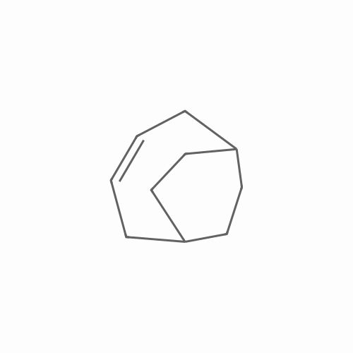 C1=CCC2CCC(C1)CC2